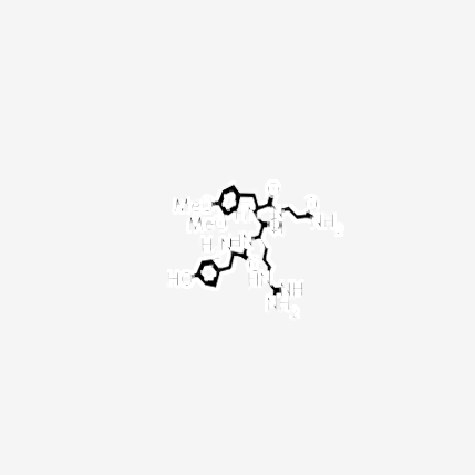 COc1ccc(CC(NC(=O)[C@@H](CCCNC(=N)N)NC(=O)C(N)Cc2ccc(O)cc2)C(=O)NCCC(N)=O)cc1OC